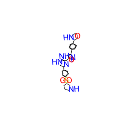 NC1=C(c2cc(-c3ccc(C4COCCN4)cc3)no2)N=C(c2ccc(S(=O)(=O)C3CCCNC3)cc2)CN1